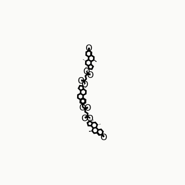 C[C@@H]1CC2=CC(=O)CCC2C2C1C1CC[C@H](OC(=O)CCC(=O)Oc3ccc4c(c3)CCC3C4CC[C@@]4(C)C3CC[C@@H]4OC(=O)CCC(=O)O[C@H]3CCC4C5C(C6CCC(=O)C=C6C[C@H]5C)[C@@H](C)C[C@@]43C)[C@@]1(C)C[C@@H]2C